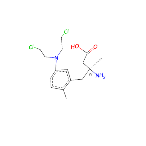 Cc1ccc(N(CCCl)CCCl)cc1C[C@](C)(N)CC(=O)O